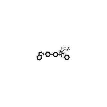 O=C(O)CS(=O)(=O)N(Cc1ccccc1)c1ccc(-c2ccc(-n3ccc4ccccc43)cc2)cc1